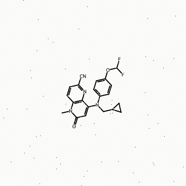 Cn1c(=O)cc(N(CC2CC2)c2ccc(OC(F)F)cc2)c2nc(C#N)ccc21